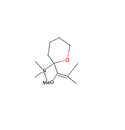 COC(=C(C)C)C1([Si](C)(C)C)CCCCO1